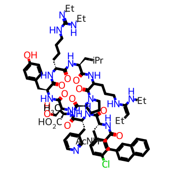 CC/C=C(/NCC)NCCCC(NC(=O)[C@H](CC(C)C)NC(=O)[C@@H](CCCCN/C(=N/CC)NCC)NC(=O)[C@H](Cc1ccc(O)cc1)NC(=O)[C@H](CO)NC(=O)[C@@H](Cc1cccnc1)NC(=O)[C@@H](Cc1ccc(Cl)cc1)NC(=O)[C@@H](Cc1ccc2ccccc2c1)NC(C)=O)C(=O)N1CCC[C@H]1C(=O)N[C@H](C)C(=O)O